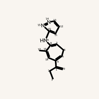 C=C(CC)C1=CCC=C(Nc2cccnn2)C(C)=C1